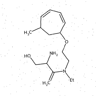 C=C(C(N)CO)N(CC)CCOC1C=CC=CC(C)C1